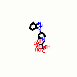 O=P(O)(O)C(C[n+]1ccc(-n2nnc3ccccc32)cc1)P(=O)(O)O